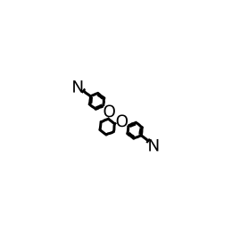 N#Cc1ccc(O[C@H]2CCCC[C@@H]2Oc2ccc(C#N)cc2)cc1